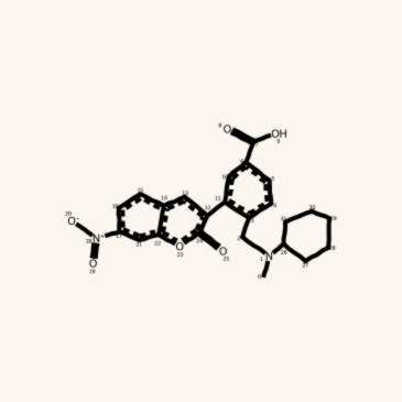 CN(Cc1ccc(C(=O)O)cc1-c1cc2ccc([N+](=O)[O-])cc2oc1=O)C1CCCCC1